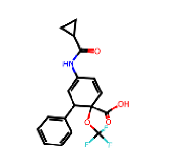 O=C(NC1=CC(c2ccccc2)C(OC(F)(F)F)(C(=O)O)C=C1)C1CC1